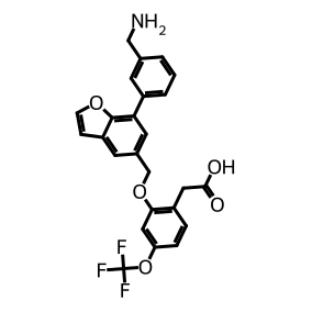 NCc1cccc(-c2cc(COc3cc(OC(F)(F)F)ccc3CC(=O)O)cc3ccoc23)c1